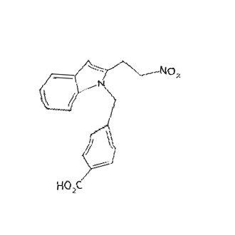 O=C(O)c1ccc(Cn2c(CC[N+](=O)[O-])cc3ccccc32)cc1